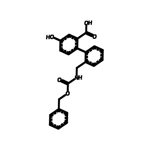 O=C(NCc1ccccc1-c1ccc(O)cc1C(=O)O)OCc1ccccc1